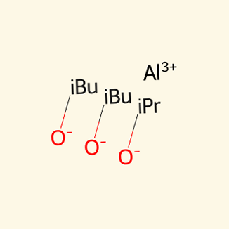 CC(C)[O-].CCC(C)[O-].CCC(C)[O-].[Al+3]